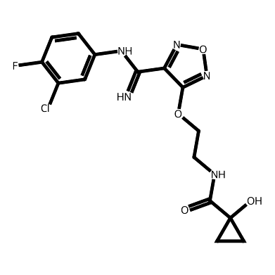 N=C(Nc1ccc(F)c(Cl)c1)c1nonc1OCCNC(=O)C1(O)CC1